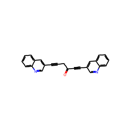 O=C(C#Cc1cnc2ccccc2c1)[CH]C#Cc1cnc2ccccc2c1